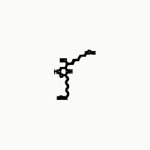 CCCCCCCCCCCCCC=CC(O)C(CO)NC(=O)CCCCCCCCCCCCCCC